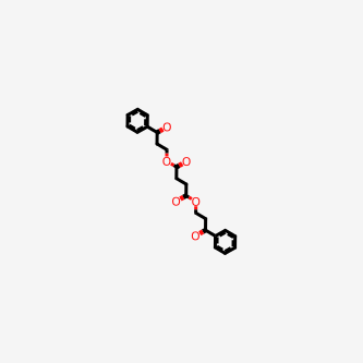 O=C(CCC(=O)OCCC(=O)c1ccccc1)OCCC(=O)c1ccccc1